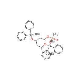 CCOC(=O)CC(CC(CCOS(=O)(=O)C(F)(F)F)O[Si](c1ccccc1)(c1ccccc1)C(C)(C)C)O[Si](c1ccccc1)(c1ccccc1)C(C)(C)C